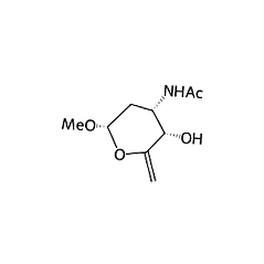 C=C1O[C@H](OC)C[C@H](NC(C)=O)[C@@H]1O